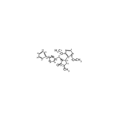 COc1cccc(OC)c1C1CC(C)C(=O)N1Cc1csc(-c2ccccc2)n1